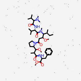 CCC(C)C(C(CC(=O)N1CCCC1C(OC)C(C)C(=O)NC(Cc1ccccc1)C(=O)OC)OC)N(C)C(=O)[C@@H](NC(=O)C(C(C)C)N(C)C)C(C)C